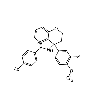 CC(=O)c1ccc(C(=O)NC2(c3ccc(OC(F)(F)F)c(F)c3)CCOc3cccnc32)cc1